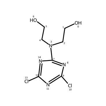 OCCN(CCO)c1nc(Cl)nc(Cl)n1